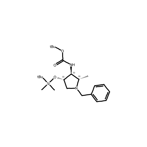 C[C@H]1[C@H](NC(=O)OC(C)(C)C)[C@@H](O[Si](C)(C)C(C)(C)C)CN1Cc1ccccc1